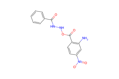 Nc1cc([N+](=O)[O-])ccc1C(=O)ONNC(=O)c1ccccc1